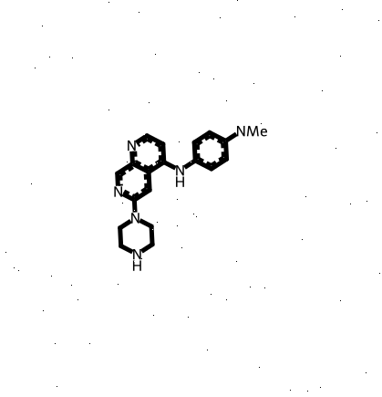 CNc1ccc(Nc2ccnc3cnc(N4CCNCC4)cc23)cc1